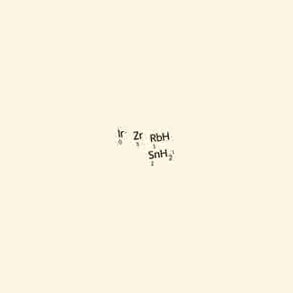 [Ir].[RbH].[SnH2].[Zr]